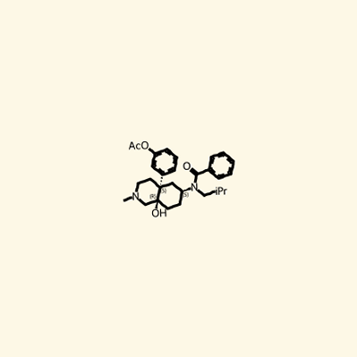 CC(=O)Oc1cccc([C@@]23CCN(C)C[C@@]2(O)CC[C@H](N(CC(C)C)C(=O)c2ccccc2)C3)c1